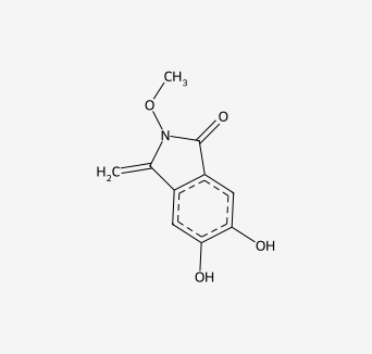 C=C1c2cc(O)c(O)cc2C(=O)N1OC